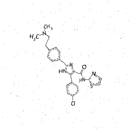 CN(C)CCc1ccc(-c2nc(C(=O)Nc3nccs3)c(-c3ccc(Cl)cc3)[nH]2)cc1